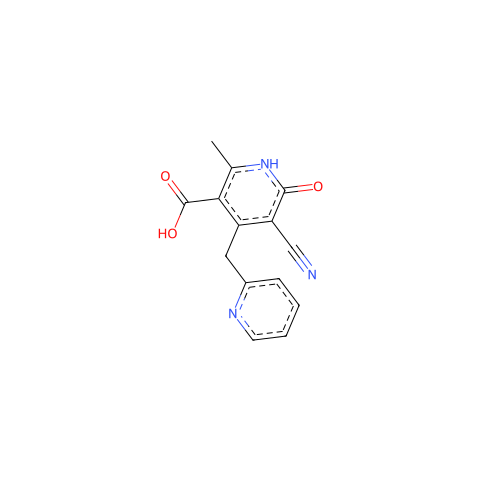 Cc1[nH]c(=O)c(C#N)c(Cc2ccccn2)c1C(=O)O